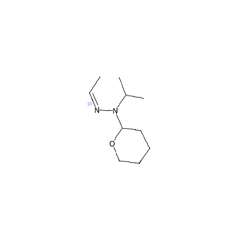 C/C=N\N(C(C)C)C1CCCCO1